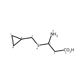 NC(CC(=O)O)SCC1CC1